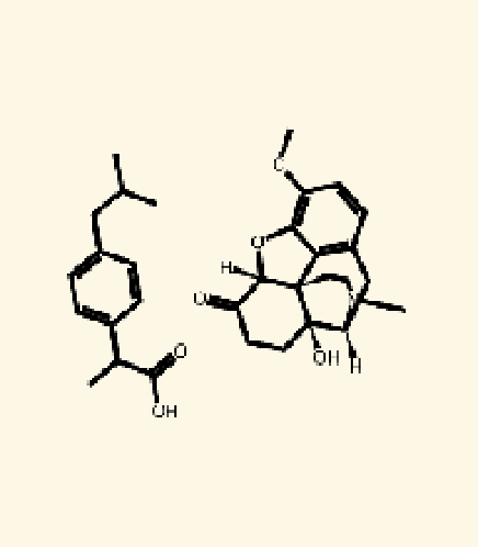 CC(C)Cc1ccc(C(C)C(=O)O)cc1.COc1ccc2c3c1O[C@H]1C(=O)CC[C@@]4(O)[C@@H](C2)N(C)CC[C@]314